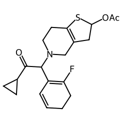 CC(=O)OC1CC2=C(CCN(C(C(=O)C3CC3)C3=C(F)CCC=C3)C2)S1